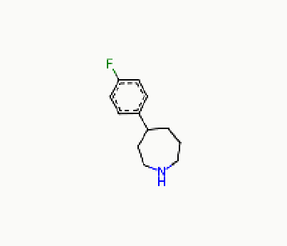 Fc1ccc(C2CCCNCC2)cc1